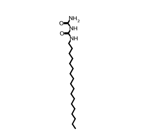 CCCCCCCCCCCCCCCCCCNC(=O)NC(N)=O